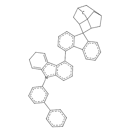 C1=c2c(n(-c3cccc(-c4ccccc4)c3)c3cccc(-c4cccc5c4-c4ccccc4C54C5CC6CC7CC4C5(C6)C7)c23)=CCC1